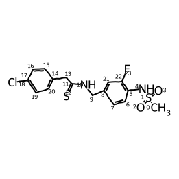 CS(=O)(=O)Nc1ccc(CNC(=S)Cc2ccc(Cl)cc2)cc1F